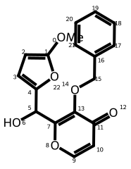 COc1ccc(C(O)c2occc(=O)c2OCc2ccccc2)o1